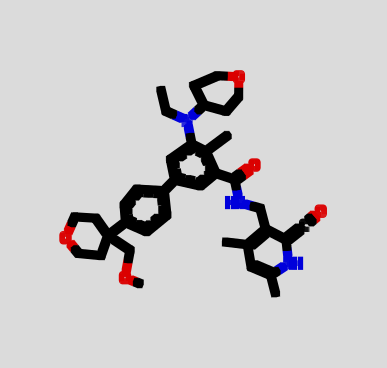 CCN(c1cc(-c2ccc(C3(COC)CCOCC3)cc2)cc(C(=O)NCC2=C(C)C=C(C)NC2=C=O)c1C)C1CCOCC1